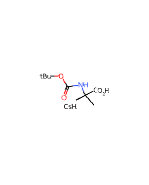 CC(C)(C)OC(=O)NC(C)(C)C(=O)O.[CsH]